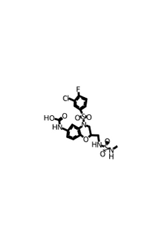 CNS(=O)(=O)NCC1CN(S(=O)(=O)c2ccc(F)c(Cl)c2)c2cc(NC(=O)O)ccc2O1